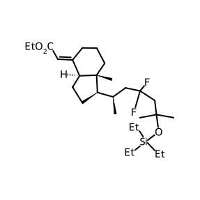 CCOC(=O)/C=C1\CCC[C@]2(C)[C@@H]([C@H](C)CC(F)(F)CC(C)(C)O[Si](CC)(CC)CC)CC[C@@H]12